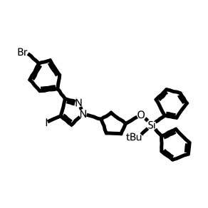 CC(C)(C)[Si](OC1CCC(n2cc(I)c(-c3ccc(Br)cc3)n2)C1)(c1ccccc1)c1ccccc1